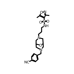 Cc1noc(C)c1S(=O)(=O)NCCCN1CC2CN(Cc3ccc(C#N)cc3)CC(C1)O2